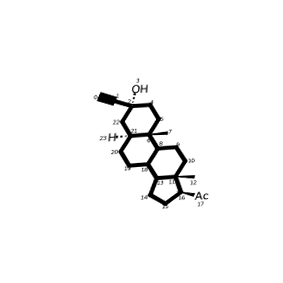 C#C[C@@]1(O)CC[C@]2(C)C3CC[C@@]4(C)C(CC[C@@H]4C(C)=O)C3CC[C@H]2C1